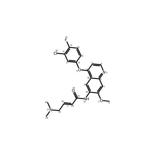 COc1cc2nccc(Oc3ccc(F)c(Cl)c3)c2cc1NC(=O)/C=C/CN(C)C